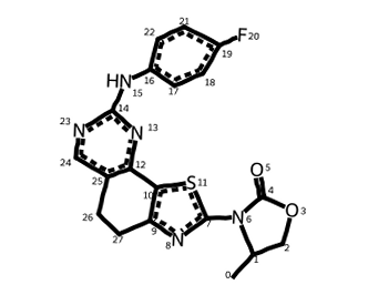 CC1COC(=O)N1c1nc2c(s1)-c1nc(Nc3ccc(F)cc3)ncc1CC2